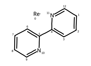 [Re].c1ccc(-c2ccccn2)nc1